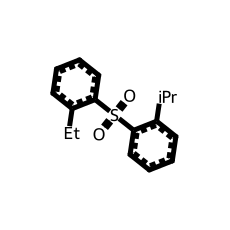 CCc1ccccc1S(=O)(=O)c1ccccc1C(C)C